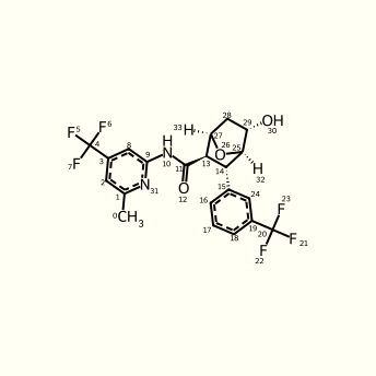 Cc1cc(C(F)(F)F)cc(NC(=O)[C@@H]2[C@@H](c3cccc(C(F)(F)F)c3)[C@H]3O[C@@H]2C[C@@H]3O)n1